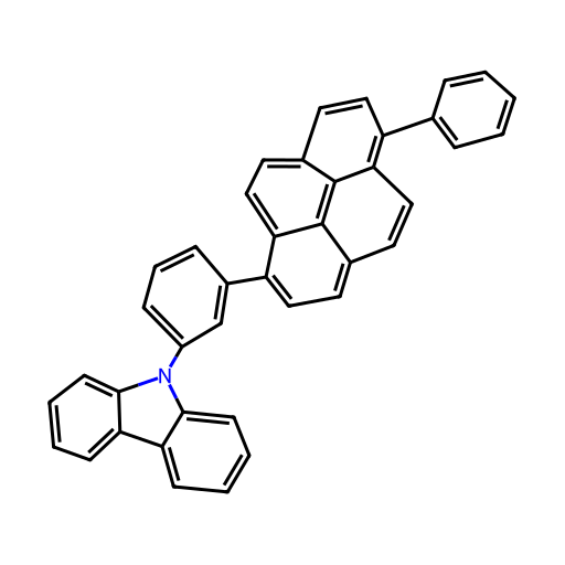 c1ccc(-c2ccc3ccc4c(-c5cccc(-n6c7ccccc7c7ccccc76)c5)ccc5ccc2c3c54)cc1